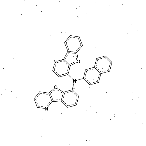 c1ccc2cc(N(c3cccc4c3oc3cccnc34)c3ccnc4c3oc3ccccc34)ccc2c1